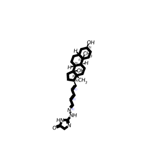 C[C@]12CC[C@H](O)C[C@H]1CC[C@@H]1[C@@H]2CC[C@]2(C)[C@@H](/C=C/C=C/C=N/NC3=NCC(=O)N3)CC[C@]12O